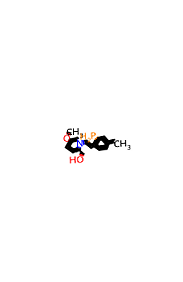 CCc1ccc(CCN2C[C@H](OC)CC[C@@H]2CO)c(P)c1